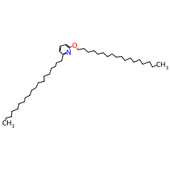 CCCCCCCCCCCCCCCCCCCc1cccc(OCCCCCCCCCCCCCCCCCC)n1